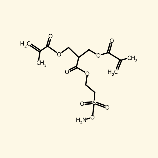 C=C(C)C(=O)OCC(COC(=O)C(=C)C)C(=O)OCCS(=O)(=O)ON